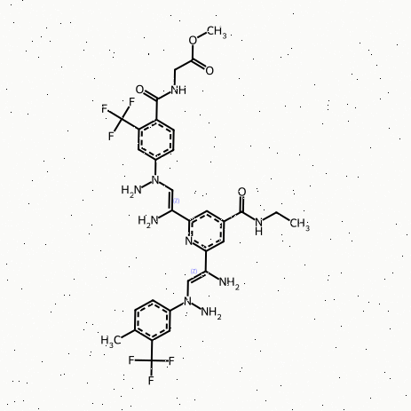 CCNC(=O)c1cc(/C(N)=C/N(N)c2ccc(C)c(C(F)(F)F)c2)nc(/C(N)=C/N(N)c2ccc(C(=O)NCC(=O)OC)c(C(F)(F)F)c2)c1